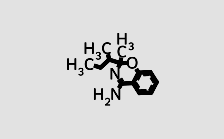 CCC(C)C1(C)N=C(N)c2ccccc2O1